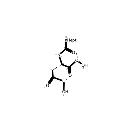 CCCCCCCC(=O)N[C@@H](CC(=O)OO)C(=O)OO